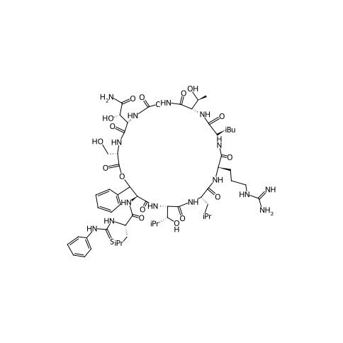 CC[C@H](C)[C@@H]1NC(=O)[C@@H](CCCNC(=N)N)NC(=O)[C@H](CC(C)C)NC(=O)[C@H]([C@H](O)C(C)C)NC(=O)[C@@H](NC(=O)[C@H](CC(C)C)NC(=S)Nc2ccccc2)C(c2ccccc2)OC(=O)[C@H](CO)NC(=O)[C@H]([C@H](O)C(N)=O)NC(=O)CNC(=O)[C@H]([C@H](C)O)NC1=O